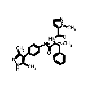 Cc1n[nH]c(C)c1-c1ccc(NC(=O)C(NC(=O)c2ccnn2C)[C@H](C)c2ccccc2)cc1